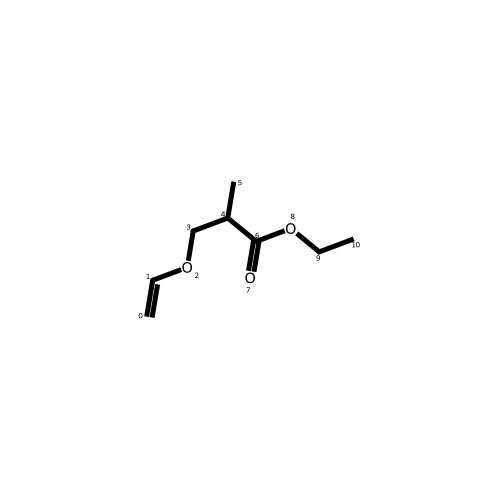 C=COCC(C)C(=O)OCC